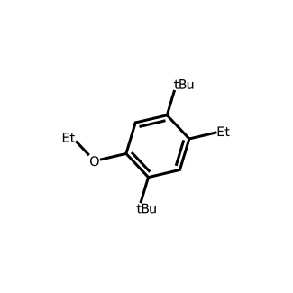 CCOc1cc(C(C)(C)C)c(CC)cc1C(C)(C)C